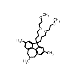 COCCOCCCC1(CCCOCCOC)c2cc(C)cc3c2-c2c(cc(C)cc21)CN(C)C3